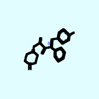 C=C(CN1CCNCC1)C(=C)/C(=C/c1ccc(C)cc1)c1ccccc1